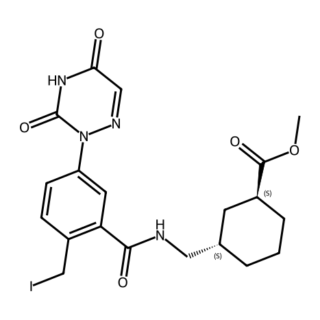 COC(=O)[C@H]1CCC[C@H](CNC(=O)c2cc(-n3ncc(=O)[nH]c3=O)ccc2CI)C1